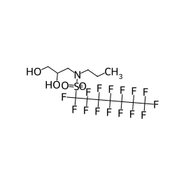 CCCN(CC(O)CO)S(=O)(=O)C(F)(F)C(F)(F)C(F)(F)C(F)(F)C(F)(F)C(F)(F)C(F)(F)F